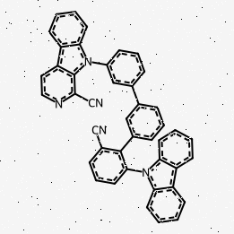 N#Cc1cccc(-n2c3ccccc3c3ccccc32)c1-c1cccc(-c2cccc(-n3c4ccccc4c4ccnc(C#N)c43)c2)c1